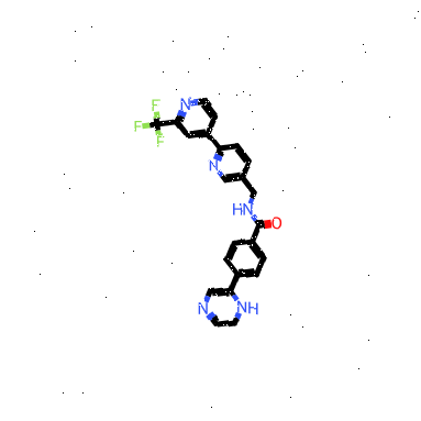 O=C(NCc1ccc(-c2ccnc(C(F)(F)F)c2)nc1)c1ccc(C2=CN=CCN2)cc1